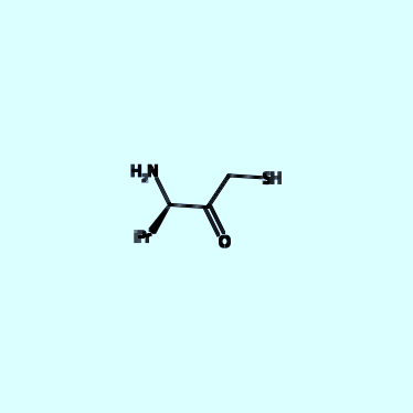 CC(C)[C@@H](N)C(=O)CS